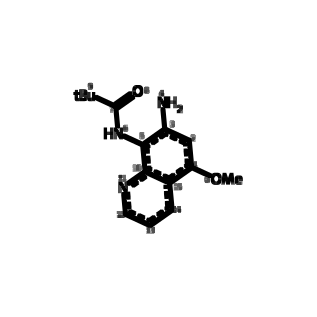 COc1cc(N)c(NC(=O)C(C)(C)C)c2ncccc12